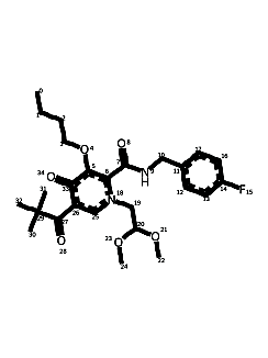 CCCCOc1c(C(=O)NCc2ccc(F)cc2)n(CC(OC)OC)cc(C(=O)C(C)(C)C)c1=O